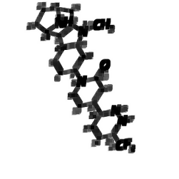 Cn1c2c(c3ccc(-n4ccc(-c5ccc(C(F)(F)F)nn5)cc4=O)cc31)C1CCC(C2)N1